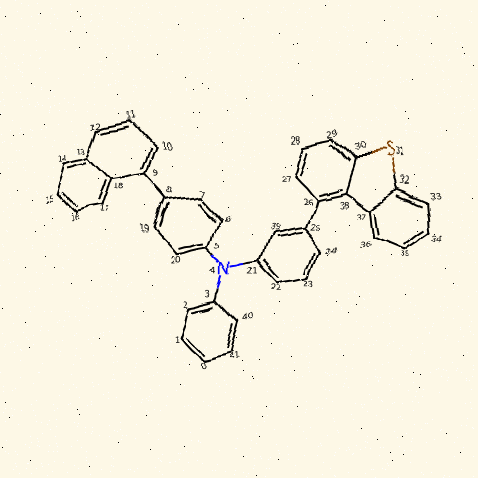 c1ccc(N(c2ccc(-c3cccc4ccccc34)cc2)c2cccc(-c3cccc4sc5ccccc5c34)c2)cc1